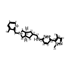 Cc1cccnc1CN1C[C@H]2CC(CNc3ccc(-c4c(C)cnn4C)nn3)C[C@H]2C1